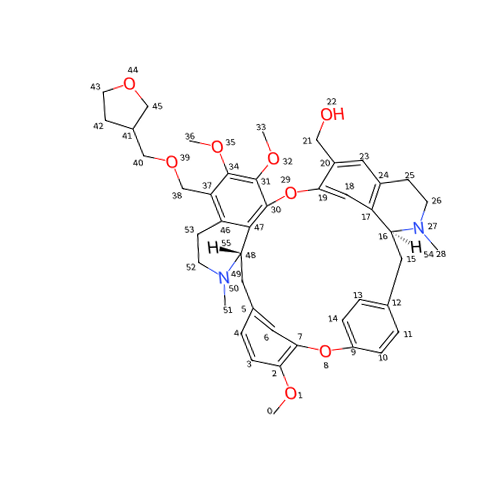 COc1ccc2cc1Oc1ccc(cc1)C[C@H]1c3cc(c(CO)cc3CCN1C)Oc1c(OC)c(OC)c(COCC3CCOC3)c3c1[C@H](C2)N(C)CC3